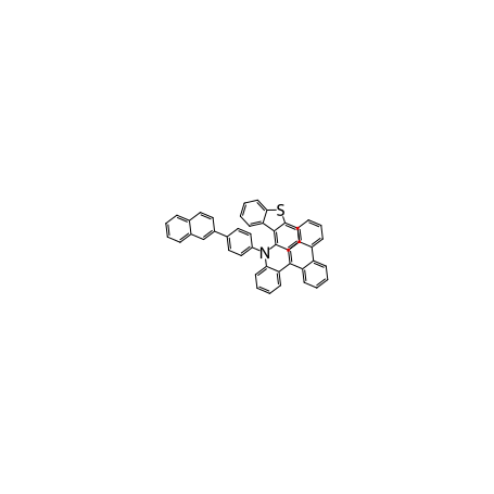 c1ccc(N(c2ccc(-c3ccc4ccccc4c3)cc2)c2cccc3sc4ccccc4c23)c(-c2cc3ccccc3c3ccccc23)c1